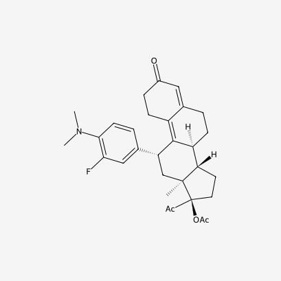 CC(=O)O[C@]1(C(C)=O)CC[C@H]2[C@@H]3CCC4=CC(=O)CCC4=C3[C@@H](c3ccc(N(C)C)c(F)c3)C[C@@]21C